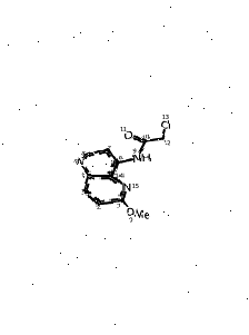 COc1ccc2nccc(NC(=O)CCl)c2n1